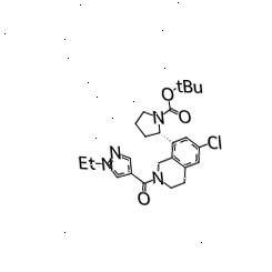 CCn1cc(C(=O)N2CCc3cc(Cl)cc([C@@H]4CCCN4C(=O)OC(C)(C)C)c3C2)cn1